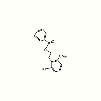 COc1cccc(O)c1CCOC(=O)c1ccccc1